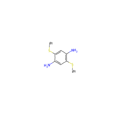 CC(C)Sc1cc(N)c(SC(C)C)cc1N